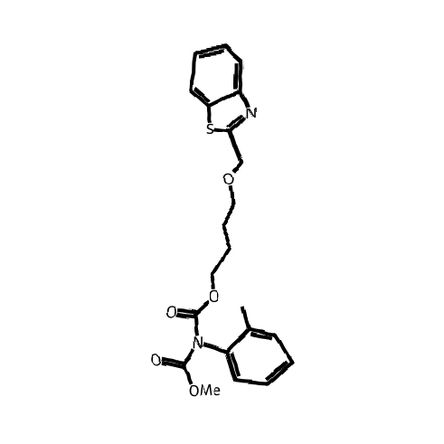 COC(=O)N(C(=O)OCCCCOCc1nc2ccccc2s1)c1ccccc1C